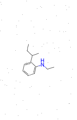 CCNc1ccccc1C(C)CC